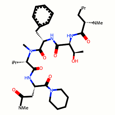 CNC(=O)C[C@H](NC(=O)[C@H](C(C)C)N(C)C(=O)[C@H](Cc1ccccc1)NC(=O)[C@@H](NC(=O)[C@H](CC(C)C)NC)[C@@H](C)O)C(=O)N1CCCCC1